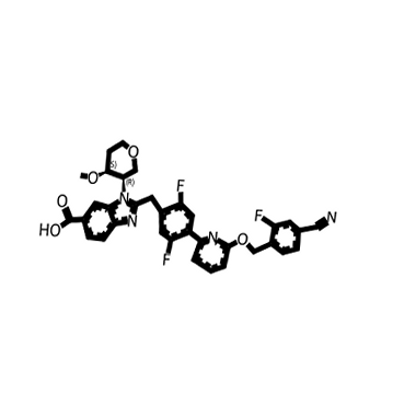 CO[C@H]1CCOC[C@H]1n1c(Cc2cc(F)c(-c3cccc(OCc4ccc(C#N)cc4F)n3)cc2F)nc2ccc(C(=O)O)cc21